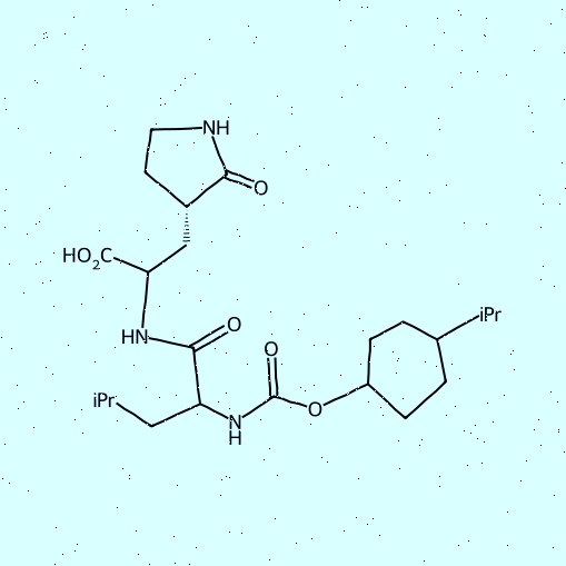 CC(C)CC(NC(=O)OC1CCC(C(C)C)CC1)C(=O)NC(C[C@@H]1CCNC1=O)C(=O)O